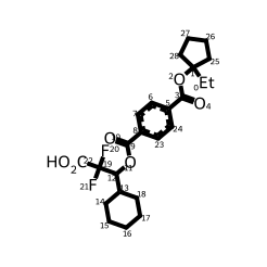 CCC1(OC(=O)c2ccc(C(=O)OC(C3CCCCC3)C(F)(F)C(=O)O)cc2)CCCC1